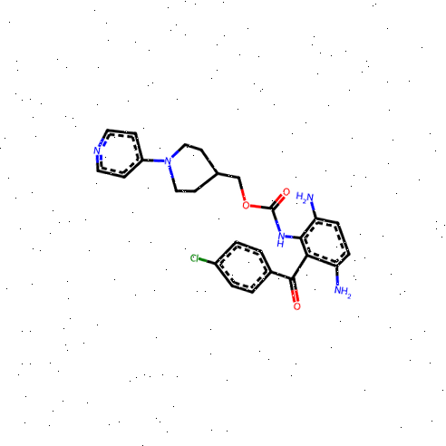 Nc1ccc(N)c(C(=O)c2ccc(Cl)cc2)c1NC(=O)OCC1CCN(c2ccncc2)CC1